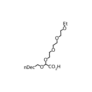 CCCCCCCCCCCOC(OCCOCCOCCOCC)C(=O)O